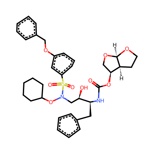 O=C(N[C@@H](Cc1ccccc1)[C@H](O)CN(OC1CCCCC1)S(=O)(=O)c1cccc(OCc2ccccc2)c1)O[C@H]1CO[C@H]2OCC[C@H]21